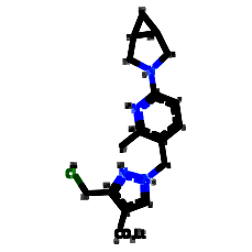 CCOC(=O)c1cn(Cc2ccc(N3CC4CC4C3)nc2C)nc1CCl